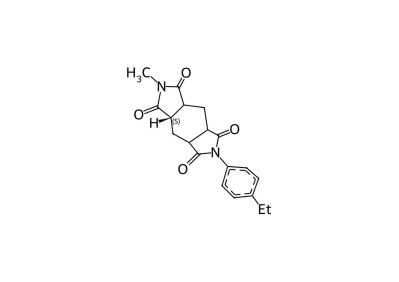 CCc1ccc(N2C(=O)C3CC4C(=O)N(C)C(=O)[C@H]4CC3C2=O)cc1